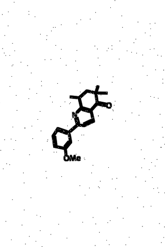 COc1cccc(-c2ccc3c(n2)C(C)CC(C)(C)C3=O)c1